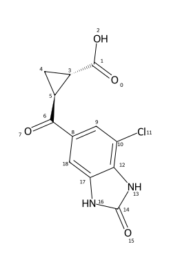 O=C(O)[C@H]1C[C@@H]1C(=O)c1cc(Cl)c2[nH]c(=O)[nH]c2c1